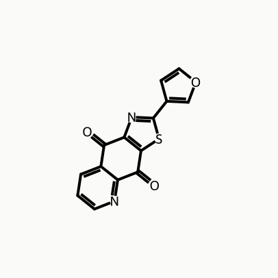 O=C1c2cccnc2C(=O)c2sc(-c3ccoc3)nc21